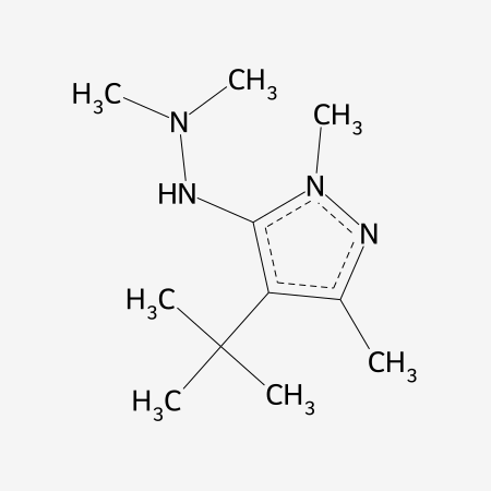 Cc1nn(C)c(NN(C)C)c1C(C)(C)C